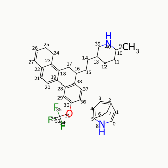 C1=CC2=CC=C(CC2)N1.CC1CCC(CCC2Cc3c(ccc4c3CCC=C4)-c3cc(OC(F)(F)F)ccc32)CN1